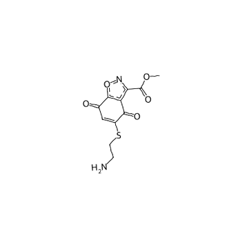 COC(=O)c1noc2c1C(=O)C(SCCN)=CC2=O